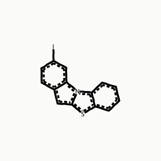 Ic1ccc2cc3sc4ccccc4n3c2c1